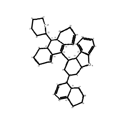 C1=CC(C2CC3Oc4ccccc4C3C(C3=C4C=CCCC4C(C4CCCCC4)C4CCCC=C34)C2)C2CCCCC2=C1